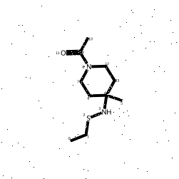 CCSNC1(C)CCN(C(C)=O)CC1